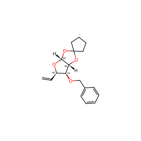 C=C[C@H]1O[C@@H]2OC3(CCCC3)O[C@@H]2[C@H]1OCc1ccccc1